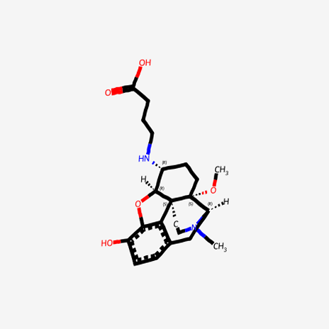 CO[C@@]12CC[C@@H](NCCCC(=O)O)[C@@H]3Oc4c(O)ccc5c4[C@@]31CCN(C)[C@@H]2C5